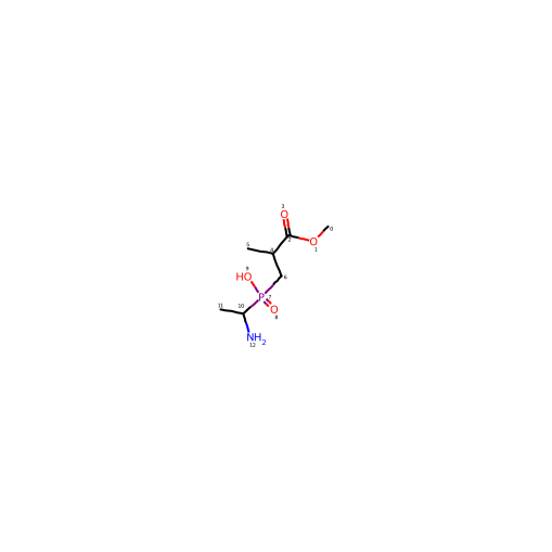 COC(=O)C(C)CP(=O)(O)C(C)N